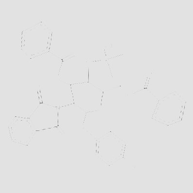 Cc1ccc(SC2OC(COC(=O)c3ccccc3)C(O[Si](C)(C)C(C)(C)C)C(OC(=O)c3ccccc3)C2N2C(=O)c3ccccc3C2=O)cc1